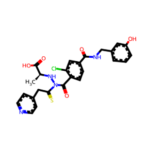 C[C@H](NN(C(=O)c1ccc(C(=O)NCc2cccc(O)c2)cc1Cl)C(=S)Cc1ccncc1)C(=O)O